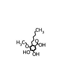 CCCCCCc1c(C(=O)O)cc(O)c(O)c1OCC